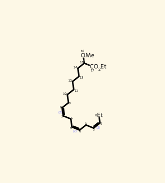 CC/C=C\C/C=C\C/C=C\CCCCCCC(OC)C(=O)OCC